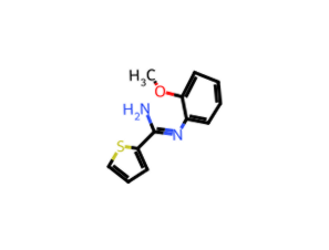 COc1ccccc1/N=C(\N)c1cccs1